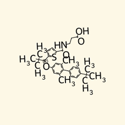 Cc1cc(O[C@@H](c2ccc(C(=O)NCCC(=O)O)s2)C(C)(C)C)cc(C)c1-c1ccc(C(C)(C)C)cc1